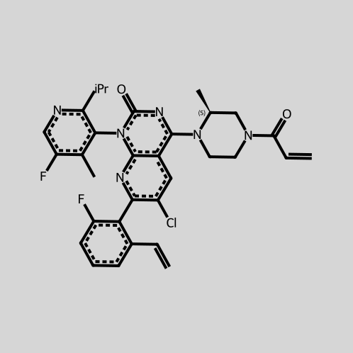 C=CC(=O)N1CCN(c2nc(=O)n(-c3c(C(C)C)ncc(F)c3C)c3nc(-c4c(F)cccc4C=C)c(Cl)cc23)[C@@H](C)C1